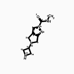 CNC(=O)n1cc2c(n1)CN(C1CNC1)C2